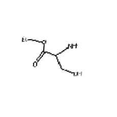 CCOC(=O)C([NH])CO